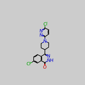 O=c1[nH]nc(C2CCN(c3ccc(Cl)nn3)CC2)c2ccc(Cl)cc12